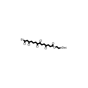 CCCCCCCCCCCCOC(=O)CCC(Cl)CCC(Cl)C(Cl)CCCC(Cl)CC(Cl)CC